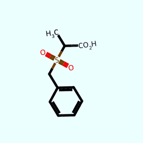 CC(C(=O)O)S(=O)(=O)Cc1ccccc1